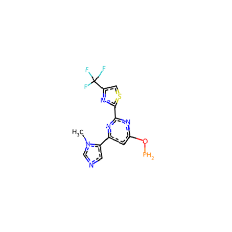 Cn1cncc1-c1cc(OP)nc(-c2nc(C(F)(F)F)cs2)n1